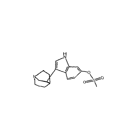 CS(=O)(=O)Oc1ccc2c(C3CN4CCC3CC4)c[nH]c2c1